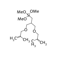 C=C(C)COCC(COCC(=C)C)C[Si](OC)(OC)OC